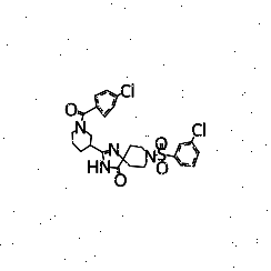 O=C(c1ccc(Cl)cc1)N1CCCC(C2=NC3(CCN(S(=O)(=O)c4cccc(Cl)c4)CC3)C(=O)N2)C1